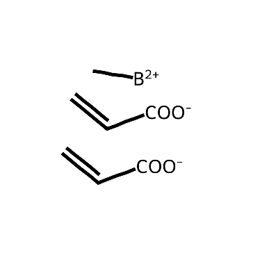 C=CC(=O)[O-].C=CC(=O)[O-].[B+2]C